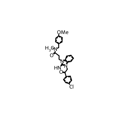 COc1ccc(CN(C)C(=O)CCn2c(=N)n(CC(=O)c3ccc(Cl)cc3)c3ccccc32)cc1